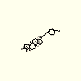 C[C@]12CCC(=O)N[C@@H]1CC[C@@H]1[C@@H]2CC[C@]2(C)[C@@H](CCCc3ccc(Cl)cc3)CC[C@@H]12